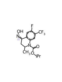 CC(C)OC(=O)N1c2cc(C(F)(F)F)c(F)cc2/C(=N\O)CC1C